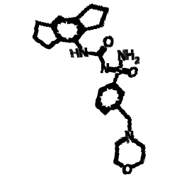 NS(=O)(=NC(=O)Nc1c2c(cc3c1CCC3)CCC2)c1cccc(CN2CCOCC2)c1